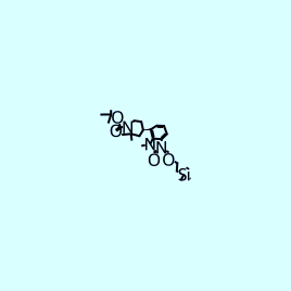 Cn1c(=O)n(COCC[Si](C)(C)C)c2cccc([C@@H]3CCN(C(=O)OC(C)(C)C)C(C)(C)C3)c21